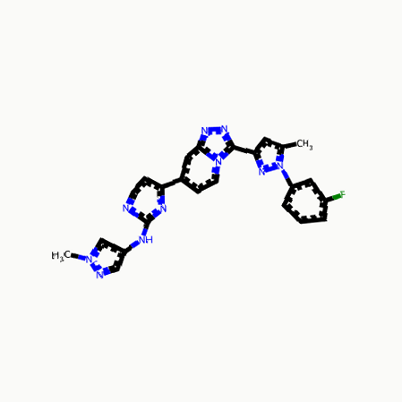 Cc1cc(-c2nnc3cc(-c4ccnc(Nc5cnn(C)c5)n4)ccn23)nn1-c1cccc(F)c1